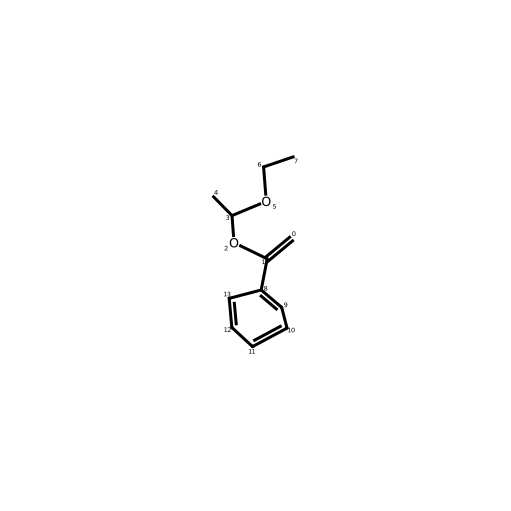 C=C(OC(C)OCC)c1ccccc1